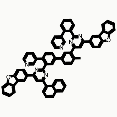 Cc1ccc(-c2ccc(-c3cccnc3)c(-c3nc(-c4ccc5oc6ccccc6c5c4)cc(-c4cccc5ccccc45)n3)c2)cc1-c1cc(-c2ccc3oc4ccccc4c3c2)nc(-c2ccccc2-c2cccnc2)n1